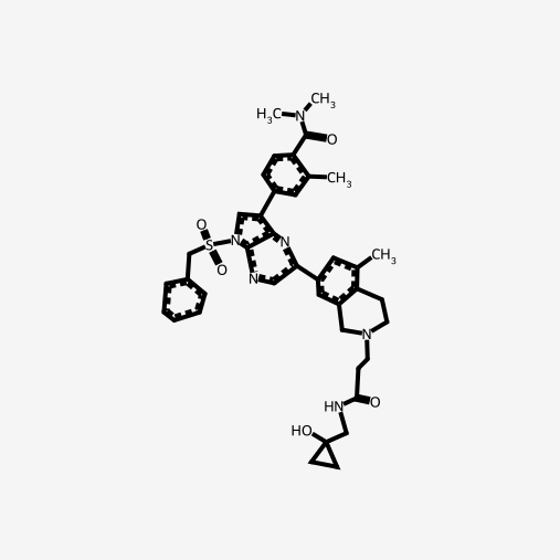 Cc1cc(-c2cn(S(=O)(=O)Cc3ccccc3)c3ncc(-c4cc(C)c5c(c4)CN(CCC(=O)NCC4(O)CC4)CC5)nc23)ccc1C(=O)N(C)C